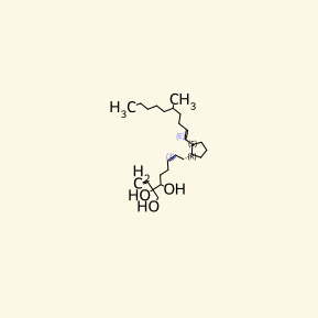 C=CC(O)(CO)C(O)CC/C=C\C[C@H]1CCC[C@@H]1/C=C/CCC(C)CCCCC